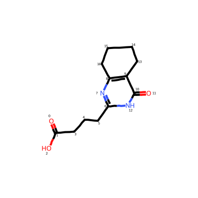 O=C(O)CCCc1nc2c(c(=O)[nH]1)CCCC2